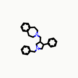 c1ccc(CN2CC(CN3CCc4ccccc4CC3)C(c3ccccc3)C2)cc1